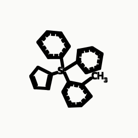 Cc1ccccc1[Si](C1=CC=CC1)(c1ccccc1)c1ccccc1